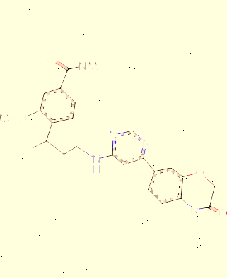 CNC(=O)c1ccc(C(C)CCNc2cc(-c3ccc4c(c3)OCC(=O)N4)ncn2)c(OC)c1